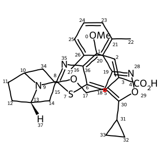 COc1cc(C(=O)O)cc2sc(N3C4CC[C@H]3CC(OCc3c(-c5c(C)cccc5C)noc3C3CC3)C4)nc12